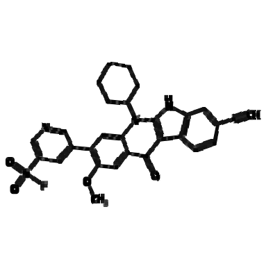 C#Cc1ccc2c(c1)[nH]c1c2c(=O)c2cc(OC)c(-c3cncc(S(=O)(=O)F)c3)cc2n1C1CCCCC1